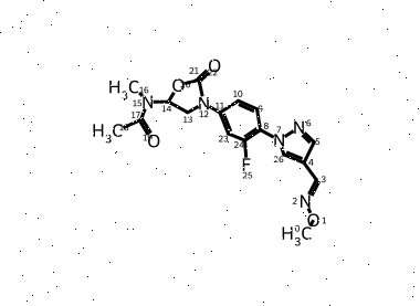 CON=Cc1cnn(-c2ccc(N3CC(N(C)C(C)=O)OC3=O)cc2F)c1